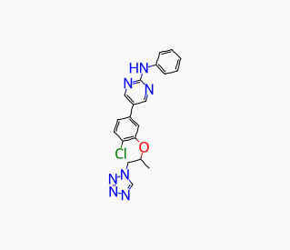 CC(Cn1cnnn1)Oc1cc(-c2cnc(Nc3ccccc3)nc2)ccc1Cl